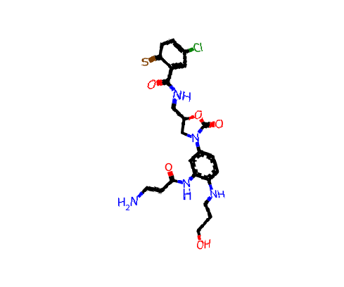 NCCC(=O)Nc1cc(N2CC(CNC(=O)C3=CC(Cl)=CCC3=S)OC2=O)ccc1NCCCO